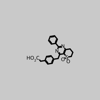 O=C(O)Cc1ccc(Cc2nc(-c3ccccc3)nc3c2S(=O)(=O)CCC3)cc1